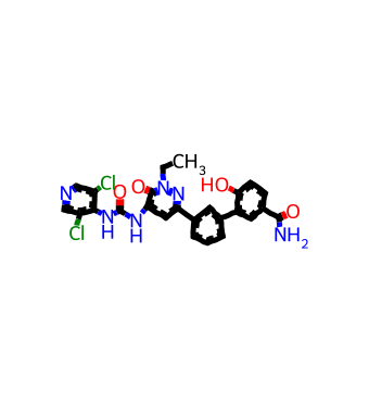 CCn1nc(-c2cccc(-c3cc(C(N)=O)ccc3O)c2)cc(NC(=O)Nc2c(Cl)cncc2Cl)c1=O